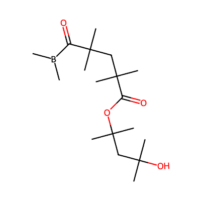 CB(C)C(=O)C(C)(C)CC(C)(C)C(=O)OC(C)(C)CC(C)(C)O